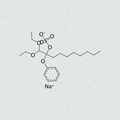 CCCCCCCCC(Oc1ccccc1)(OS(=O)(=O)[O-])C(OCC)OCC.[Na+]